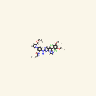 C=CC(=O)Nc1cc(N2CCC[C@H]2COC)ccc1Nc1ncc2cc(-c3c(Cl)c(OC)cc(OC)c3Cl)c3nccn3c2n1